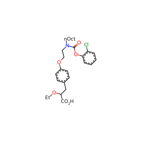 CCCCCCCCN(CCOc1ccc(CC(OCC)C(=O)O)cc1)C(=O)Oc1ccccc1Cl